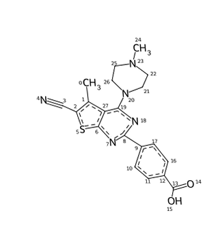 Cc1c(C#N)sc2nc(-c3ccc(C(=O)O)cc3)nc(N3CCN(C)CC3)c12